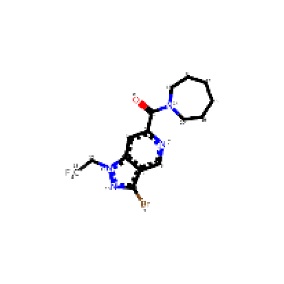 O=C(c1cc2c(cn1)c(Br)nn2CC(F)(F)F)N1CCCCCC1